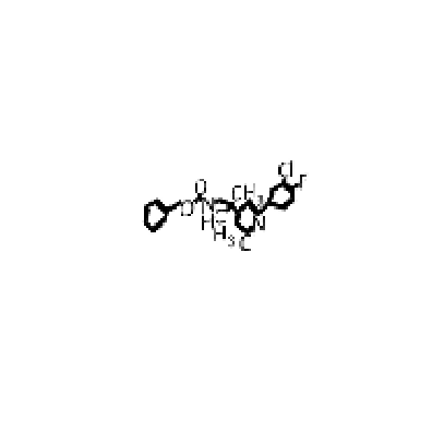 CC(C)(CNC(=O)OCc1ccccc1)c1cc(Cl)nc(-c2ccc(F)c(Cl)c2)c1